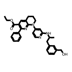 CCOC(=O)c1cc2c(nc1-c1ccccc1)N(c1ccnc(NC(C)Cc3cccc(CO)c3)c1)CCC2